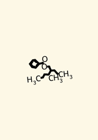 CCCC(C)C(CCC)COC(=O)c1ccccc1